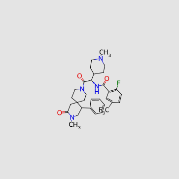 CN1CCC([C@@H](NC(=O)c2cc(C(F)(F)F)ccc2F)C(=O)N2CCC3(CC2)CC(=O)N(C)CC3c2ccccc2)CC1